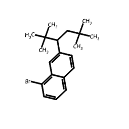 CC(C)(C)CC(c1ccc2cccc(Br)c2c1)C(C)(C)C